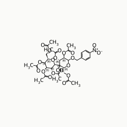 CC(=O)OC[C@H]1OC([C@]2(O)[C@H](OC(C)=O)[C@@H](OC(C)=O)C(OCc3ccc([N+](=O)[O-])cc3)O[C@@H]2COC(C)=O)[C@H](OC(C)=O)[C@@H](OC(C)=O)[C@H]1OC(C)=O